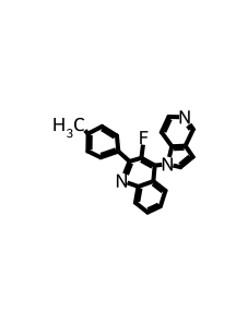 Cc1ccc(-c2nc3ccccc3c(-n3ccc4cnccc43)c2F)cc1